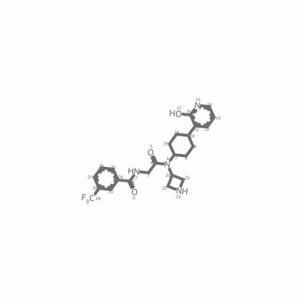 O=C(NCC(=O)N(C1CCC(c2cccnc2O)CC1)C1CNC1)c1cccc(C(F)(F)F)c1